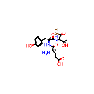 C[C@@H](O)C(NC(=O)[C@H](Cc1ccc(O)cc1)NC(=O)[C@@H](N)CCC(=O)O)C(=O)S